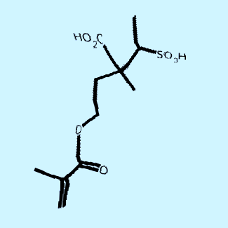 C=C(C)C(=O)OCCC(C)(C(=O)O)C(C)S(=O)(=O)O